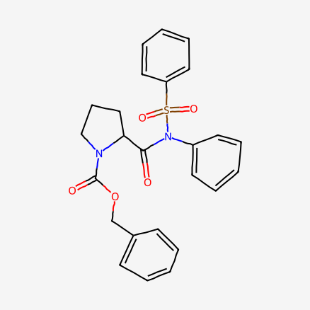 O=C(OCc1ccccc1)N1CCCC1C(=O)N(c1ccccc1)S(=O)(=O)c1ccccc1